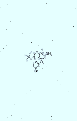 COc1cc(Br)ccc1[C@@H]1c2ccc(N)c(C)c2C[C@@H](C)N1CC(C)(C)F